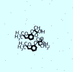 CC(Oc1cccc2c1OC(C)(C)C2)C(=O)O.CCC(C)(Oc1cccc2c1OC(C)(C)C2)C(N)=O